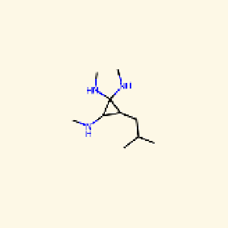 CNC1C(CC(C)C)C1(NC)NC